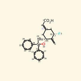 C=C1[C@@H](F)C/C(=C\C(=O)O)C[C@H]1O[Si](c1ccccc1)(c1ccccc1)C(C)(C)C